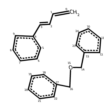 C=CC=Cc1ccccc1.c1ccc(COCc2ccccc2)cc1